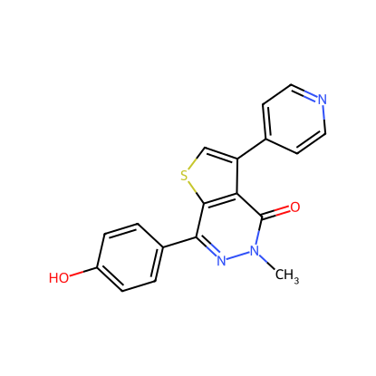 Cn1nc(-c2ccc(O)cc2)c2scc(-c3ccncc3)c2c1=O